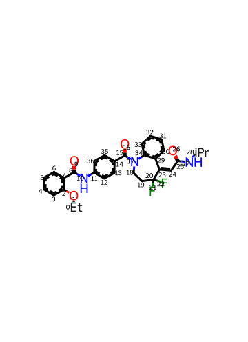 CCOc1ccccc1C(=O)Nc1ccc(C(=O)N2CCC(F)(F)/C(=C/C(=O)NC(C)C)c3ccccc32)cc1